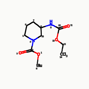 CC(C)(C)OC(=O)N1CCCC(NC(=O)OCC(Cl)(Cl)Cl)C1